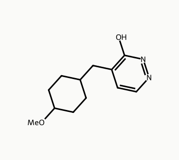 COC1CCC(Cc2ccnnc2O)CC1